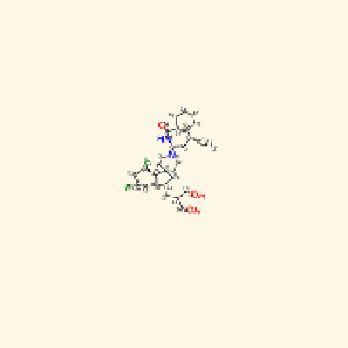 C=C1C=C(N2CCC3(CC2)CC(CC(CO)CO)c2cc(F)cc(F)c23)NC(=O)C2=C1CCCC2